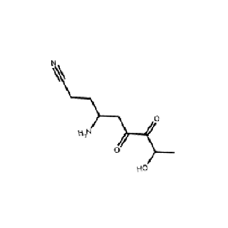 CC(O)C(=O)C(=O)CC(N)CCC#N